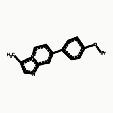 Cc1cnc2cc(-c3ccc(OC(C)C)cc3)ccn12